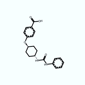 O=C(Nc1ccccc1)N[C@H]1CC[C@H](Oc2ccc(C(=O)O)cc2)CC1